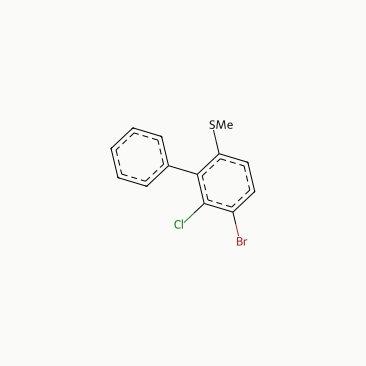 CSc1ccc(Br)c(Cl)c1-c1ccccc1